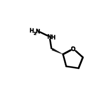 NNC[C@H]1CCCO1